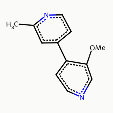 COc1cnccc1-c1ccnc(C)c1